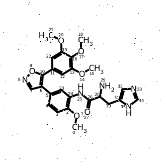 COc1ccc(-c2cnoc2-c2cc(OC)c(OC)c(OC)c2)cc1NC(=O)C(N)Cc1cnc[nH]1